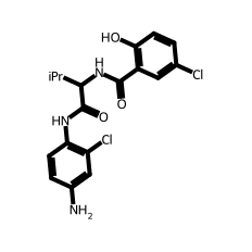 CC(C)C(NC(=O)c1cc(Cl)ccc1O)C(=O)Nc1ccc(N)cc1Cl